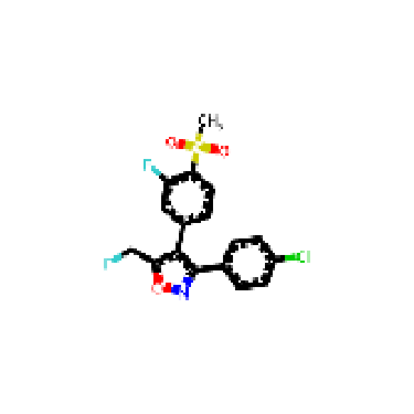 CS(=O)(=O)c1ccc(-c2c(-c3ccc(Cl)cc3)noc2CF)cc1F